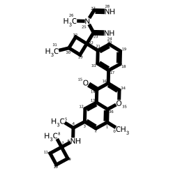 Cc1cc(C(C)NC2(C)CCC2)cc2c(=O)c(-c3cccc(C4(C(=N)N(C)C=N)CC(C)C4)c3)coc12